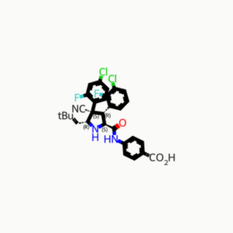 CC(C)(C)C[C@H]1N[C@H](C(=O)Nc2ccc(C(=O)O)cc2)[C@@H](c2cccc(Cl)c2F)[C@]1(C#N)c1ccc(Cl)cc1F